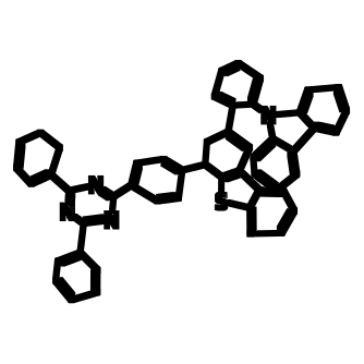 C1=CCCC(c2nc(-c3ccccc3)nc(-c3ccc(C4CC(c5ccccc5-n5c6ccccc6c6ccccc65)=Cc5c4sc4ccccc54)cc3)n2)=C1